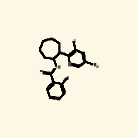 O=C(NC1CCCCCC1c1ncc(C(F)(F)F)cc1Cl)c1ccccc1I